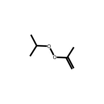 C=C(C)OOC(C)C